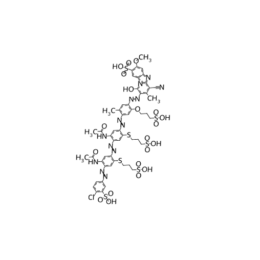 COc1cc2nc3c(C#N)c(C)c(N=Nc4cc(C)c(N=Nc5cc(NC(C)=O)c(N=Nc6cc(NC(C)=O)c(N=Nc7ccc(Cl)c(S(=O)(=O)O)c7)cc6SCCCS(=O)(=O)O)cc5SCCCS(=O)(=O)O)cc4OCCCS(=O)(=O)O)c(O)n3c2cc1S(=O)(=O)O